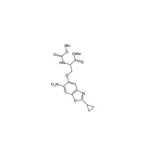 COC(=O)C(COc1cc2nc(C3CC3)oc2cc1[N+](=O)[O-])NC(=O)OC(C)(C)C